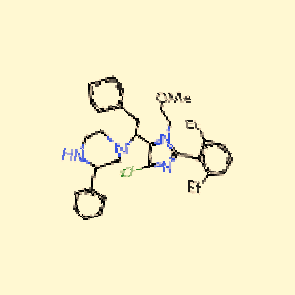 CCc1cccc(CC)c1-c1nc(Cl)c(C(Cc2ccccc2)N2CCNC(c3ccccc3)C2)n1CCOC